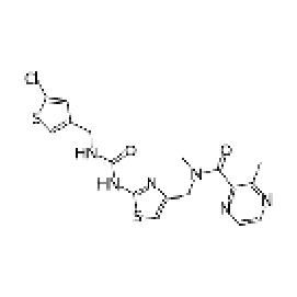 Cc1nccnc1C(=O)N(C)Cc1csc(NC(=O)NCc2csc(Cl)c2)n1